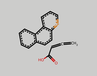 C=C=CC(=O)O.c1ccc2c(c1)ccc1pcccc12